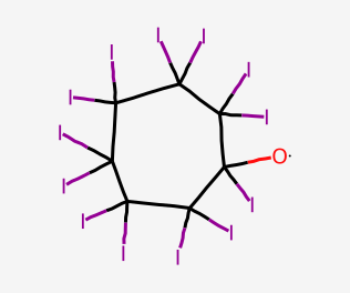 [O]C1(I)C(I)(I)C(I)(I)C(I)(I)C(I)(I)C(I)(I)C1(I)I